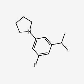 CC(C)c1cc(F)cc(N2CCCC2)c1